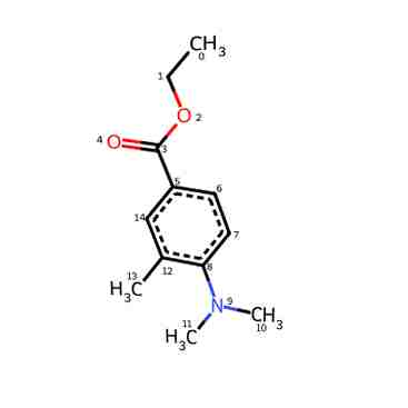 CCOC(=O)c1ccc(N(C)C)c(C)c1